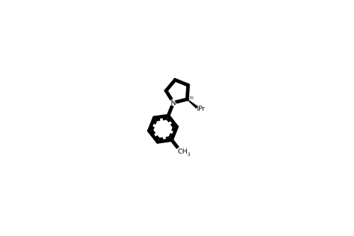 Cc1cccc(N2CCC[C@H]2C(C)C)c1